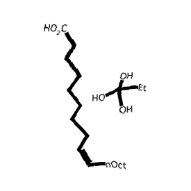 CCC(O)(O)O.CCCCCCCC/C=C\CCCCCCCC(=O)O